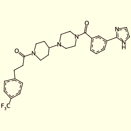 O=C(CCc1ccc(C(F)(F)F)cc1)N1CCC(N2CCN(C(=O)c3cccc(-c4ncc[nH]4)c3)CC2)CC1